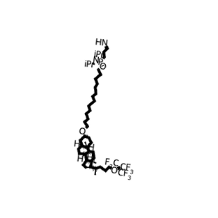 CC(C)N(C(C)C)P(CCC=N)OCCCCCCCCCCCCCCO[C@@H]1CC[C@@]2(C)[C@H](CC[C@@H]3[C@@H]2CC[C@]2(C)[C@@H]([C@H](C)CCCOC(C(F)(F)F)(C(F)(F)F)C(F)(F)F)CC[C@@H]32)C1